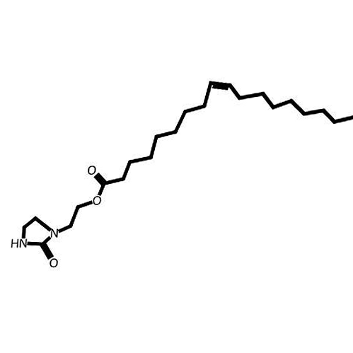 CCCCCCCC/C=C\CCCCCCCC(=O)OCCN1CCNC1=O